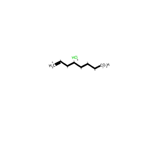 C=CCCCCCC(=O)O.Cl